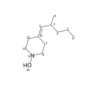 CCCC(C)C=C1CCN(O)CC1